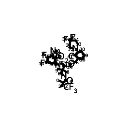 CC(C)(C(=O)N1CC2(C1)CN(c1cc(F)c(F)c3ncsc13)C[C@H]2COCc1cccc(N2CCC(F)(F)CC2)c1C(=O)O)C(F)(F)F